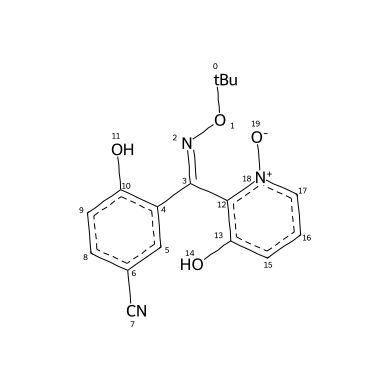 CC(C)(C)ON=C(c1cc(C#N)ccc1O)c1c(O)ccc[n+]1[O-]